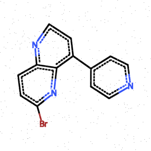 Brc1ccc2nccc(-c3ccncc3)c2n1